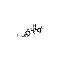 COc1ccc(NC(=S)Nc2cccc(Cl)c2)cn1